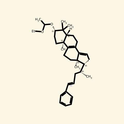 CCOC(C)O[C@H]1CC[C@]2(C)C3=C(CC[C@H]2C1(C)C)C1=CC[C@H]([C@H](C)C/C=C/c2ccccc2)[C@@]1(C)CC3